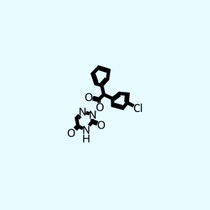 O=C(On1ncc(=O)[nH]c1=O)C(c1ccccc1)c1ccc(Cl)cc1